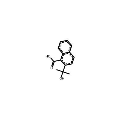 CC(C)(O)c1ccc2ccccc2c1C(=O)O